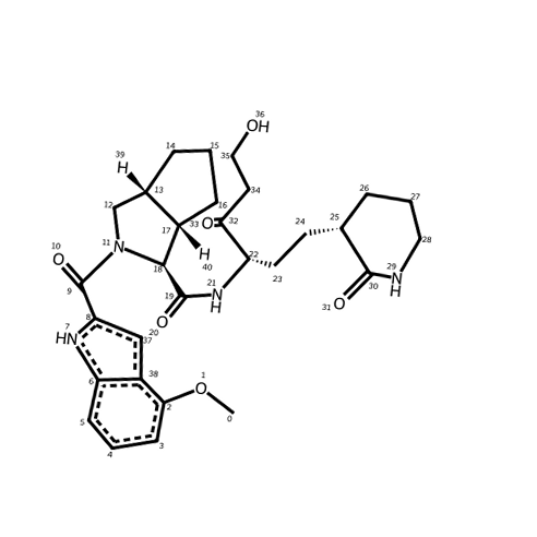 COc1cccc2[nH]c(C(=O)N3C[C@@H]4CCC[C@@H]4[C@H]3C(=O)N[C@@H](CC[C@@H]3CCCNC3=O)C(=O)CCO)cc12